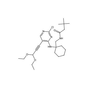 CCOC(C#Cc1cnc(Cl)nc1NC1(CNC(=O)CC(C)(C)C)CCCCC1)OCC